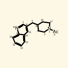 CC(=O)N1CCC(Cc2cnc3ccccc3c2)CC1